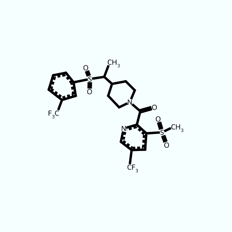 CC(C1CCN(C(=O)c2ncc(C(F)(F)F)cc2S(C)(=O)=O)CC1)S(=O)(=O)c1cccc(C(F)(F)F)c1